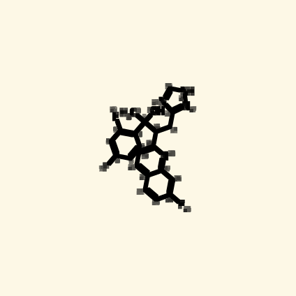 CC(O)(c1ccc(F)cc1F)C(Cc1nc[nH]n1)c1ccc2ccc(F)cc2n1